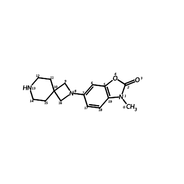 Cn1c(=O)oc2cc(N3CC4(CCNCC4)C3)ccc21